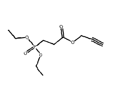 C#CCOC(=O)CCP(=O)(OCC)OCC